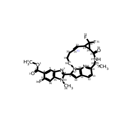 COC(=O)c1cc2nc(-c3cc4ccc5nc4n3CCC/C=C/C3C(C(=O)N[C@@H]5C)C3(F)F)n(C)c2cc1F